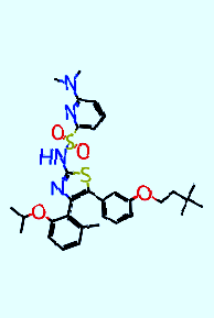 Cc1cccc(OC(C)C)c1-c1nc(NS(=O)(=O)c2cccc(N(C)C)n2)sc1-c1cccc(OCCC(C)(C)C)c1